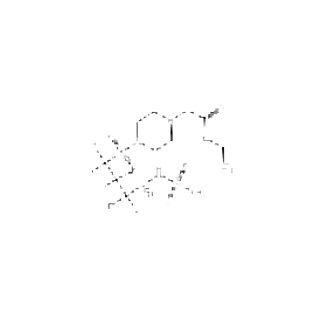 CS(=O)(=O)NS(=O)(=O)C(F)(F)C(F)(F)C(F)(F)S(=O)(=O)N1CCN(CC(=O)OCC(F)(F)F)CC1